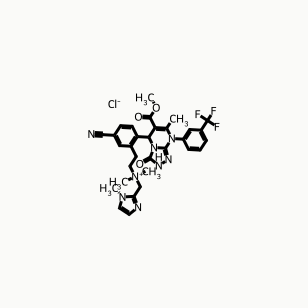 COC(=O)C1=C(C)N(c2cccc(C(F)(F)F)c2)c2n[nH]c(=O)n2C1c1ccc(C#N)cc1CC[N+](C)(C)Cc1nccn1C.[Cl-]